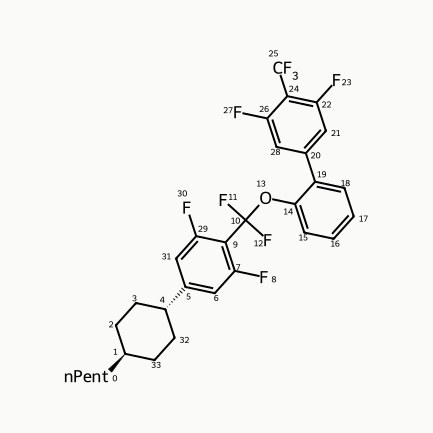 CCCCC[C@H]1CC[C@H](c2cc(F)c(C(F)(F)Oc3ccccc3-c3cc(F)c(C(F)(F)F)c(F)c3)c(F)c2)CC1